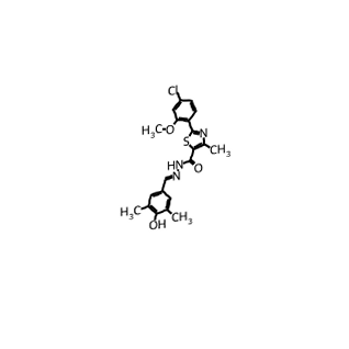 COc1cc(Cl)ccc1-c1nc(C)c(C(=O)N/N=C/c2cc(C)c(O)c(C)c2)s1